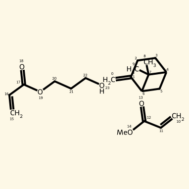 C=C1CCC2CC1C2(C)C.C=CC(=O)OC.C=CC(=O)OCCCO